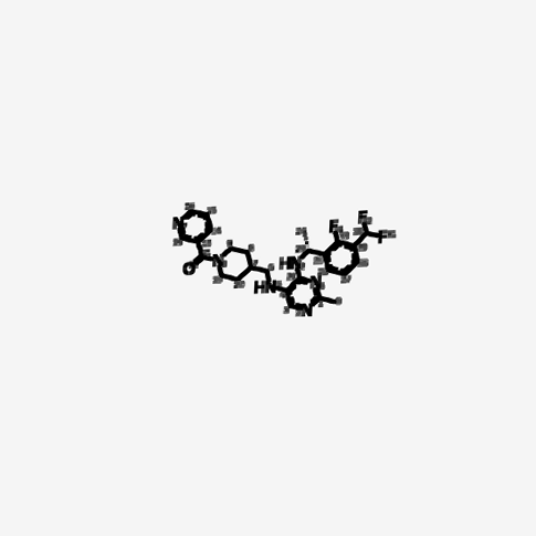 Cc1ncc(NCC2CCN(C(=O)c3cccnc3)CC2)c(N[C@H](C)c2cccc(C(F)F)c2F)n1